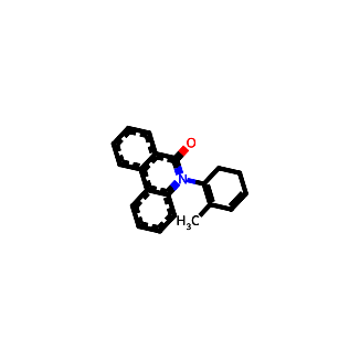 CC1=C(n2c(=O)c3ccccc3c3ccccc32)CCC=C1